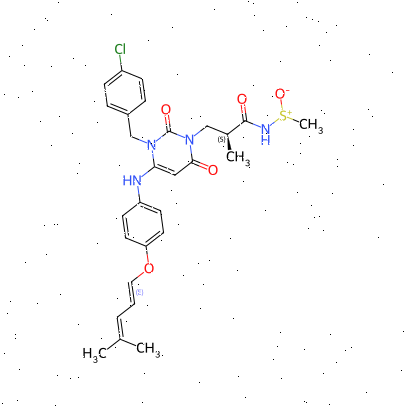 CC(C)=C/C=C/Oc1ccc(Nc2cc(=O)n(C[C@H](C)C(=O)N[S+](C)[O-])c(=O)n2Cc2ccc(Cl)cc2)cc1